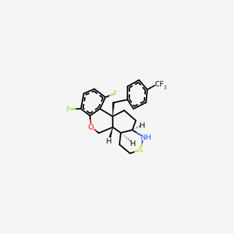 Fc1ccc(F)c2c1OC[C@H]1[C@@H]3CCSN[C@@H]3CC[C@@]21Cc1ccc(C(F)(F)F)cc1